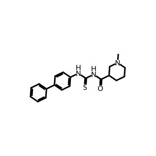 CN1CCCC(C(=O)NC(=S)Nc2ccc(-c3ccccc3)cc2)C1